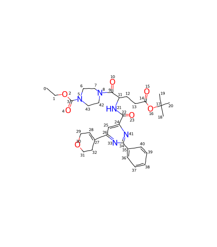 CCOC(=O)N1CCN(C(=O)C(CCC(=O)OC(C)(C)C)NC(=O)c2cc(C3=CCOCC3)nc(-c3ccccc3)n2)CC1